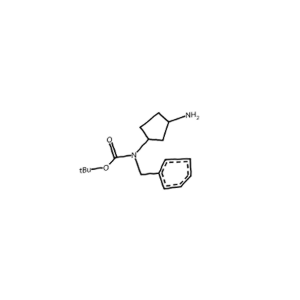 CC(C)(C)OC(=O)N(Cc1ccccc1)C1CCC(N)C1